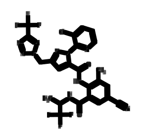 Cc1cc(C#N)cc(C(=O)NC(C)C(F)(F)F)c1NC(=O)c1cc(Cn2nnc(C(F)(F)F)n2)nn1-c1ncccc1Cl